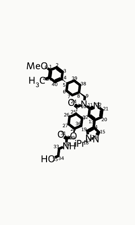 COc1ccc([C@H]2CC[C@H](CN(c3cc(-c4cnn(C(C)C)c4)ccn3)C(=O)[C@H]3CC[C@H](OC(=O)NCCO)CC3)CC2)cc1C